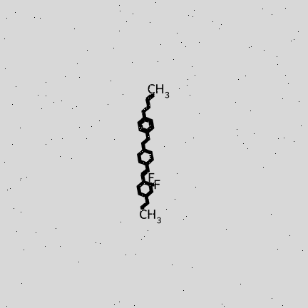 C/C=C/CCc1ccc(CCC2CCC(/C=C/C3CCC(CCC)CC3(F)F)CC2)cc1